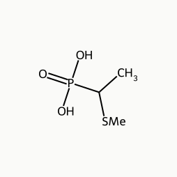 CSC(C)P(=O)(O)O